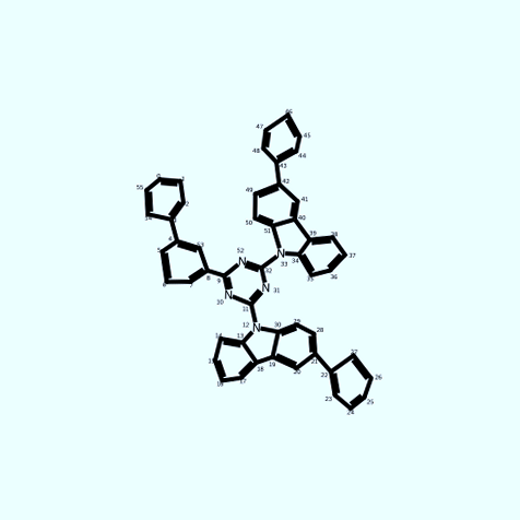 c1ccc(-c2cccc(-c3nc(-n4c5ccccc5c5cc(-c6ccccc6)ccc54)nc(-n4c5ccccc5c5cc(-c6ccccc6)ccc54)n3)c2)cc1